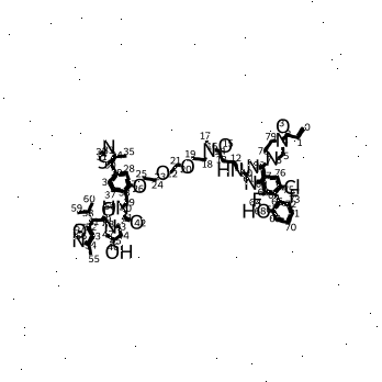 C=CC(=O)N1CCN(c2nc(NCCC(=O)N(C)CCOCCOCCOc3cc(-c4scnc4C)ccc3CNC(=O)[C@@H]3C[C@@H](O)CN3C(=O)[C@H](c3cc(C)no3)C(C)C)nc3c(F)c(-c4c(O)cccc4F)c(Cl)cc23)CC1